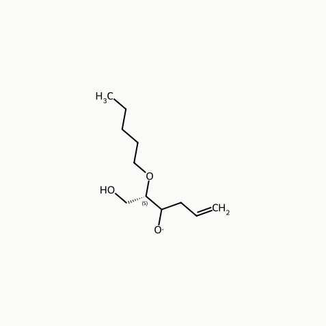 C=CCC([O])[C@H](CO)OCCCCC